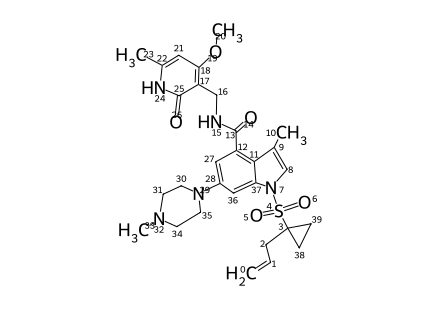 C=CCC1(S(=O)(=O)n2cc(C)c3c(C(=O)NCc4c(OC)cc(C)[nH]c4=O)cc(N4CCN(C)CC4)cc32)CC1